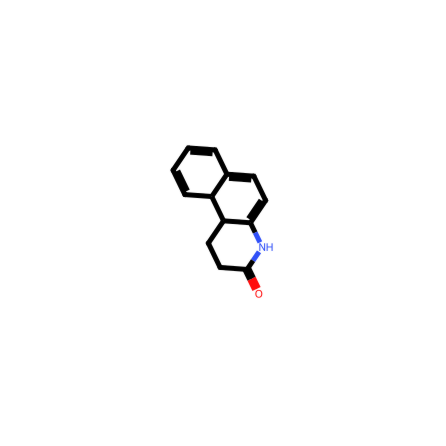 O=C1CCC2C(=CC=C3C=CC=CC32)N1